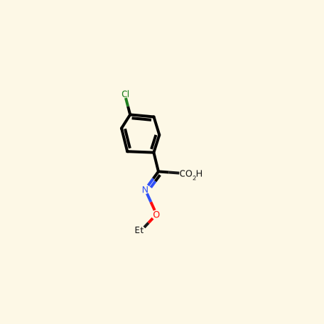 CCO/N=C(\C(=O)O)c1ccc(Cl)cc1